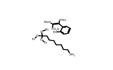 CCCCCCC(=C(OC)C(=O)O)c1ccccc1CC.CCOC(CCCCCCC[SiH3])(OCC)OCC